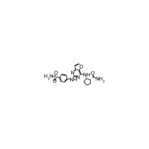 NC(=O)[C@@H]1CCC[C@@H]1Nc1nc(Nc2ccc(S(N)(=O)=O)cc2)nc2ccoc12